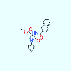 CCOC(=O)C1CN(c2ccccc2)C(=O)C1NC(=O)c1ccc2ccccc2c1